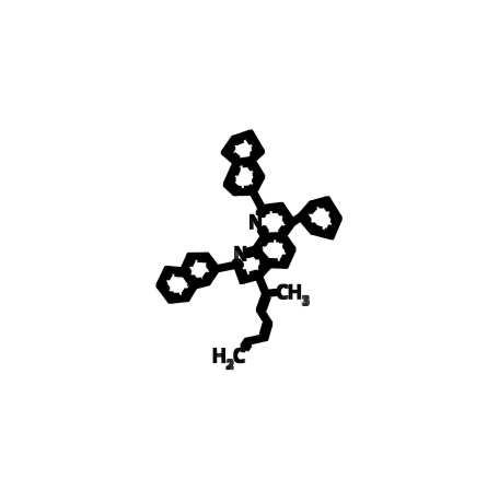 C=C/C=C\C=C(/C)c1cc(-c2ccc3ccccc3c2)nc2c1ccc1c(-c3ccccc3)cc(-c3ccc4ccccc4c3)nc12